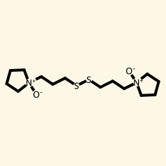 [O-][N+]1(CCCSSCCC[N+]2([O-])CCCC2)CCCC1